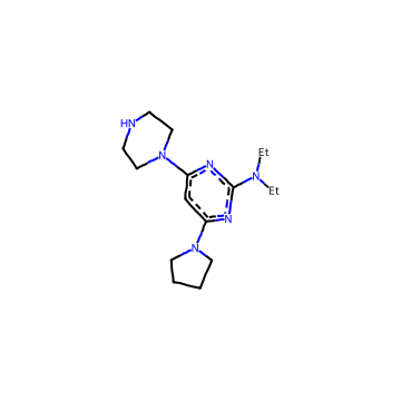 CCN(CC)c1nc(N2CCCC2)cc(N2CCNCC2)n1